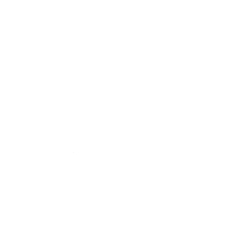 CCCOc1cccc(OC(=O)O)c1